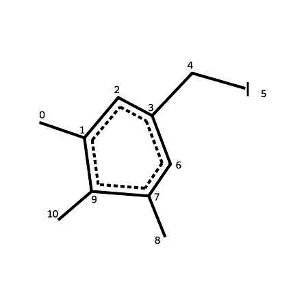 Cc1cc(CI)cc(C)c1C